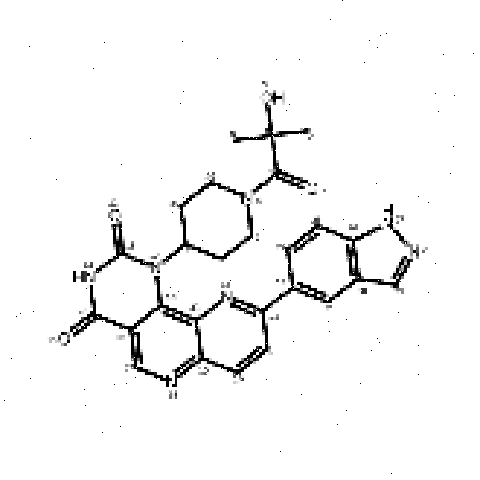 CC(C)(O)C(=O)N1CCC(n2c(=O)[nH]c(=O)c3cnc4ccc(-c5ccc6[nH]ncc6c5)nc4c32)CC1